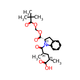 C[C@H](C[C@@H](C)C(=O)N1c2ccccc2C[C@H]1C(=O)OCOC(=O)C(C)(C)C)C(=O)O